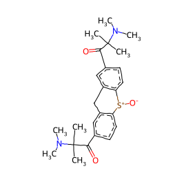 CN(C)C(C)(C)C(=O)c1ccc2c(c1)Cc1cc(C(=O)C(C)(C)N(C)C)ccc1[S+]2[O-]